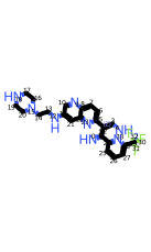 N=C(/C(=C\N)c1ccc2ncc(NCCN3CCNCC3)cc2n1)c1cccc(C(F)(F)F)n1